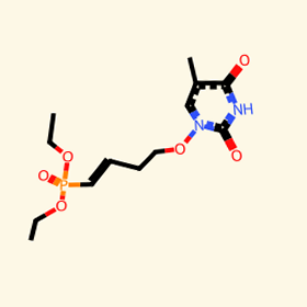 CCOP(=O)(/C=C/CCOn1cc(C)c(=O)[nH]c1=O)OCC